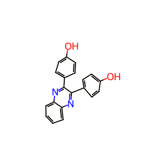 Oc1ccc(-c2nc3ccccc3nc2-c2ccc(O)cc2)cc1